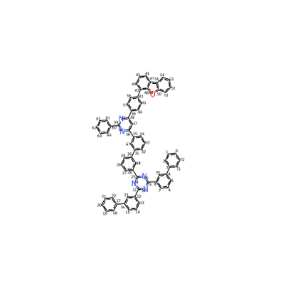 c1ccc(-c2cccc(-c3nc(-c4cccc(-c5ccccc5)c4)nc(-c4cccc(-c5cccc(-c6cc(-c7ccc(-c8cccc9c8oc8ccccc89)cc7)nc(-c7ccccc7)n6)c5)c4)n3)c2)cc1